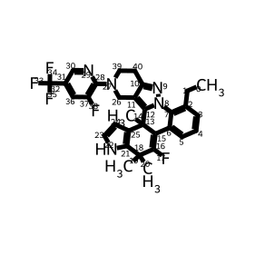 CCc1cccc2c1-n1nc3c(c1C1(C)C2=C(F)C(C)(C)c2[nH]ccc21)CN(c1ncc(C(F)(F)F)cc1F)CC3